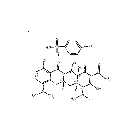 CN(C)c1ccc(O)c2c1C[C@H]1C[C@@H]3[C@H](N(C)C)C(O)=C(C(N)=O)C(=O)[C@@]3(O)C(O)=C1C2=O.Cc1ccc(S(=O)(=O)O)cc1